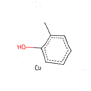 Cc1ccccc1O.[Cu]